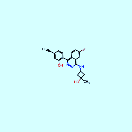 C#Cc1ccc(-c2nnc(NC3CC(C)(O)C3)c3cc(Br)ccc23)c(O)c1